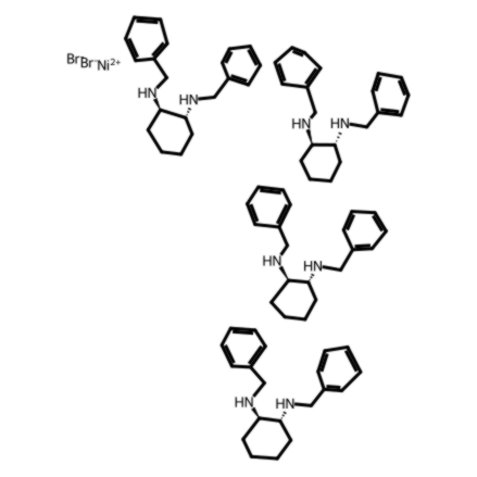 [Br-].[Br-].[Ni+2].c1ccc(CN[C@@H]2CCCC[C@H]2NCc2ccccc2)cc1.c1ccc(CN[C@@H]2CCCC[C@H]2NCc2ccccc2)cc1.c1ccc(CN[C@@H]2CCCC[C@H]2NCc2ccccc2)cc1.c1ccc(CN[C@@H]2CCCC[C@H]2NCc2ccccc2)cc1